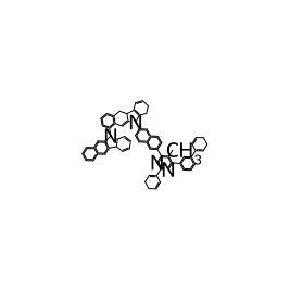 Cc1c(-c2cccc(C3=CCCC=C3)c2)nc(C2=CCCC=C2)nc1-c1ccc2cc(N3C4=Cc5c(cccc5N5c6cc7ccccc7cc6C6C=CC=CC65)CC4C4=C3CCC=C4)ccc2c1